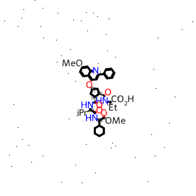 CC[C@H](NC(=O)[C@@H]1C[C@@H](Oc2cc(-c3ccccc3)nc3cc(OC)ccc23)C[C@H]1C(=O)N[C@@H](C(=O)N[C@@H](C(=O)OC)C1CCCCC1)C(C)C)C(=O)O